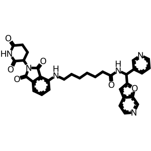 O=C1CCC(N2C(=O)c3cccc(NCCCCCCC(=O)NC(c4cccnc4)c4cc5ccncc5o4)c3C2=O)C(=O)N1